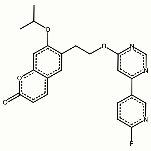 CC(C)Oc1cc2oc(=O)ccc2cc1CCOc1cc(-c2ccc(F)nc2)ncn1